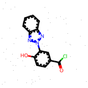 O=C(Cl)c1ccc(O)c(-n2nc3ccccc3n2)c1